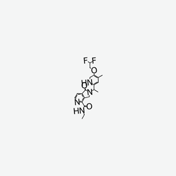 CCNC(=O)c1nccc2c1CN(C(C)C1=CC(C)=C(OCC(F)F)CN1)C2=O